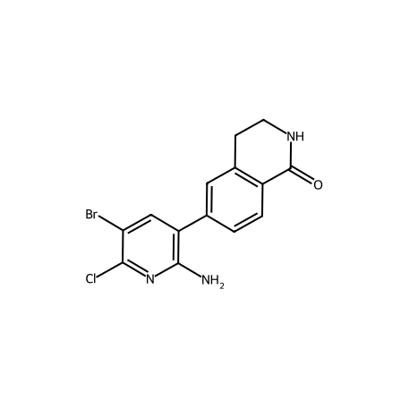 Nc1nc(Cl)c(Br)cc1-c1ccc2c(c1)CCNC2=O